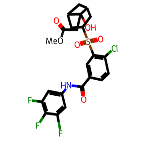 COC(=O)CC1(O)C2CC1CC(S(=O)(=O)c1cc(C(=O)Nc3cc(F)c(F)c(F)c3)ccc1Cl)C2